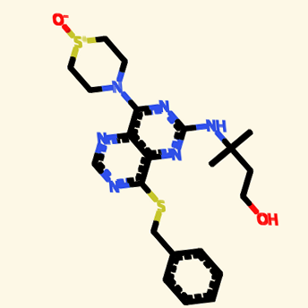 CC(C)(CCO)Nc1nc(N2CC[S+]([O-])CC2)c2ncnc(SCc3ccccc3)c2n1